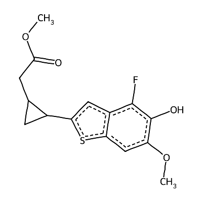 COC(=O)CC1CC1c1cc2c(F)c(O)c(OC)cc2s1